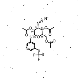 CC(=O)OC[C@H]1O[C@H](Sc2cncc(SC(F)(F)F)c2)[C@H](OC(C)=O)[C@@H](N=[N+]=[N-])[C@H]1OC(C)=O